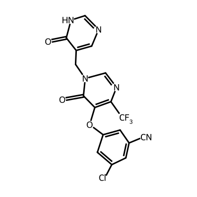 N#Cc1cc(Cl)cc(Oc2c(C(F)(F)F)ncn(Cc3cnc[nH]c3=O)c2=O)c1